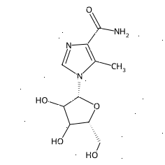 Cc1c(C(N)=O)ncn1[C@@H]1O[C@H](CO)C(O)C1O